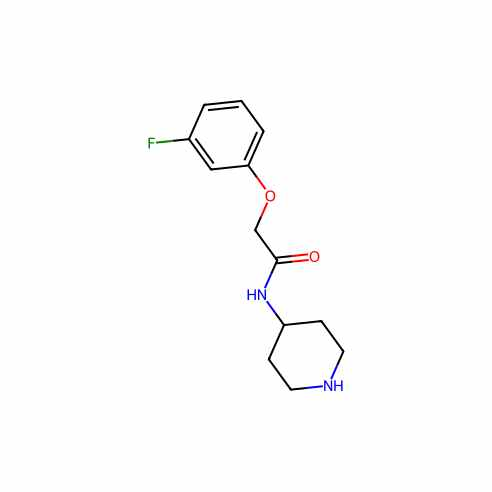 O=C(COc1cccc(F)c1)NC1CCNCC1